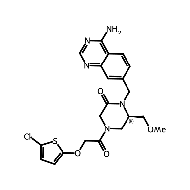 COC[C@H]1CN(C(=O)COc2ccc(Cl)s2)CC(=O)N1Cc1ccc2c(N)ncnc2c1